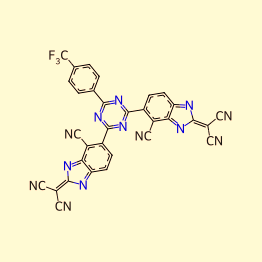 N#CC(C#N)=C1N=c2ccc(-c3nc(-c4ccc(C(F)(F)F)cc4)nc(-c4ccc5c(c4C#N)=NC(=C(C#N)C#N)N=5)n3)c(C#N)c2=N1